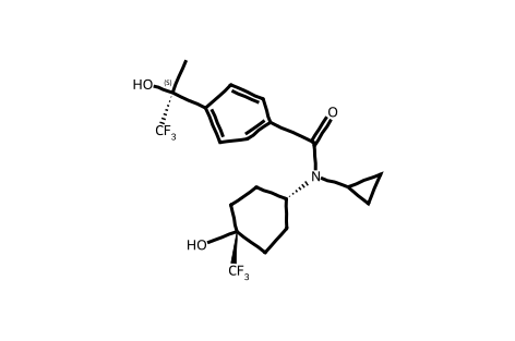 C[C@](O)(c1ccc(C(=O)N(C2CC2)[C@H]2CC[C@](O)(C(F)(F)F)CC2)cc1)C(F)(F)F